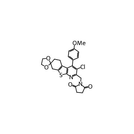 COc1ccc(-c2c(Cl)c(CN3C(=O)CCC3=O)nc3sc4c(c23)CCC2(C4)OCCO2)cc1